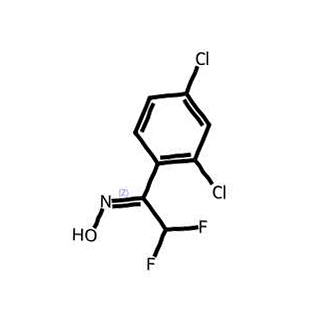 O/N=C(/c1ccc(Cl)cc1Cl)C(F)F